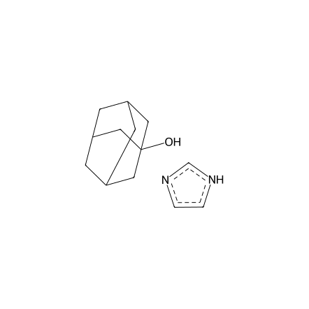 OC12CC3CC(CC(C3)C1)C2.c1c[nH]cn1